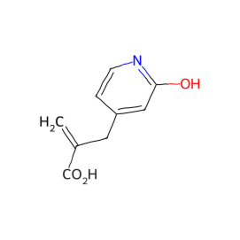 C=C(Cc1ccnc(O)c1)C(=O)O